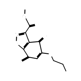 CCCSC1=CC(=O)c2onc(C(=O)NC)c2C1=O